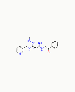 CNN/C(=C\C(=N)NCC(O)c1ccccc1)NCc1cccnc1